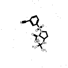 CC(C)(C)NC1CCN(S(=O)(=O)c2cccc(C#N)c2)[C@@H]1C(=O)O